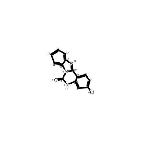 O=c1[nH]c2cc(Cl)ccc2c2nc3ccccc3n12